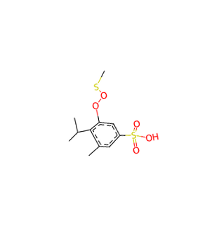 CSOOc1cc(S(=O)(=O)O)cc(C)c1C(C)C